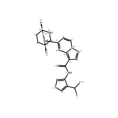 O=C(Nc1cscc1C(F)F)c1cnn2ccc(N3C[C@@H]4CC[C@H]3CN4)nc12